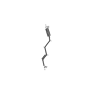 C#CCCC=C[C](C)C